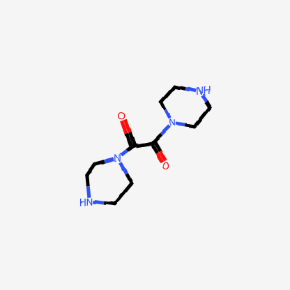 O=C(C(=O)N1CCNCC1)N1CCNCC1